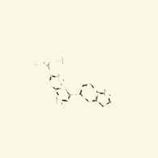 CNc1nn2c(-c3ccc4[nH]ccc4c3)cnc2s1